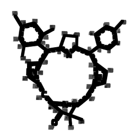 Cc1ccc(-c2c3nc(c(-c4c(C)cc(C)cc4C)c4ccc(cc5nc(cc6ccc2[nH]6)C(C)(C)C5=O)[nH]4)CC3)cc1